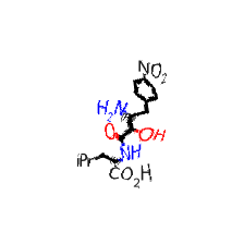 CC(C)C[C@H](NC(=O)C(O)[C@H](N)Cc1ccc([N+](=O)[O-])cc1)C(=O)O